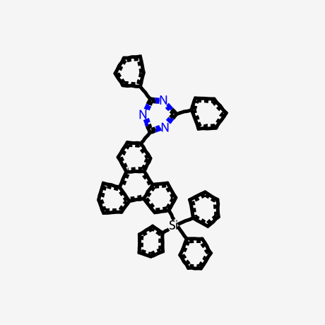 c1ccc(-c2nc(-c3ccccc3)nc(-c3ccc4c5ccccc5c5cc([Si](c6ccccc6)(c6ccccc6)c6ccccc6)ccc5c4c3)n2)cc1